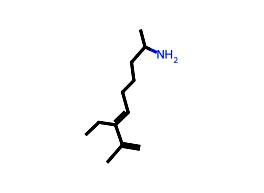 C=C(C)/C(=C/CCCC(C)N)CC